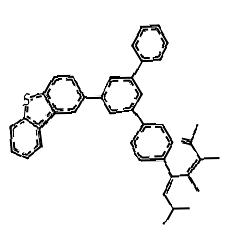 C=C(C)/C(C)=C(C)\C(=C/C(C)C)c1ccc(-c2cc(-c3ccccc3)cc(-c3ccc4sc5ccccc5c4c3)c2)cc1